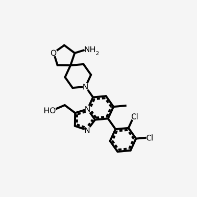 Cc1cc(N2CCC3(CC2)COCC3N)n2c(CO)cnc2c1-c1cccc(Cl)c1Cl